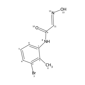 Cc1c(Br)cccc1NC(=O)C=NO